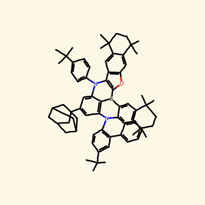 CC(C)(C)c1ccc(N2c3cc(C45CC6CC(CC(C6)C4)C5)cc4c3B(c3cc5c(cc3N4c3ccc(C(C)(C)C)cc3-c3ccccc3)C(C)(C)CCC5(C)C)c3oc4cc5c(cc4c32)C(C)(C)CCC5(C)C)cc1